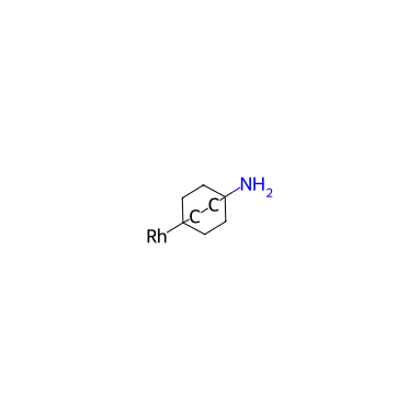 NC12CC[C]([Rh])(CC1)CC2